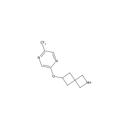 FC(F)(F)c1cnc(OC2CC3(CNC3)C2)cn1